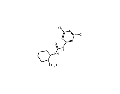 O=C(Nc1cc(Cl)nc(Cl)c1)NC1CCCCC1C(=O)O